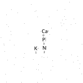 [Ca].[K].[N].[P]